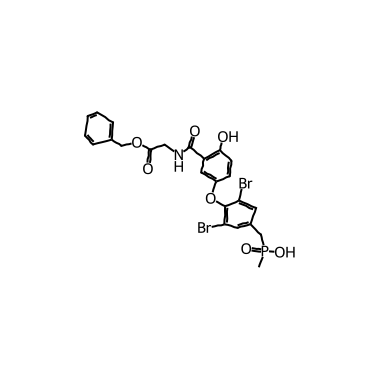 CP(=O)(O)Cc1cc(Br)c(Oc2ccc(O)c(C(=O)NCC(=O)OCc3ccccc3)c2)c(Br)c1